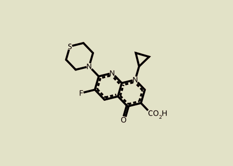 O=C(O)c1cn(C2CC2)c2nc(N3CCSCC3)c(F)cc2c1=O